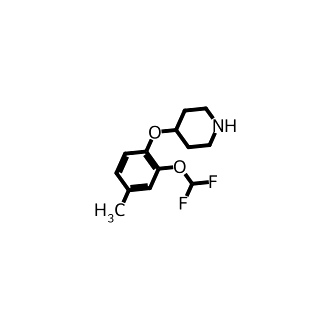 Cc1ccc(OC2CCNCC2)c(OC(F)F)c1